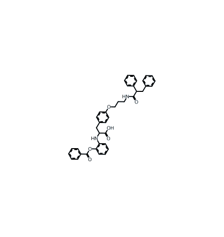 O=C(Oc1ccccc1NC(Cc1ccc(OCCCNC(=O)C(Cc2ccccc2)c2ccccc2)cc1)C(=O)O)c1ccccc1